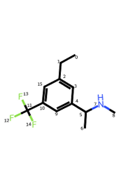 CCc1cc(C(C)NC)cc(C(F)(F)F)c1